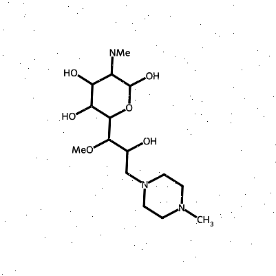 CNC1C(O)OC(C(OC)C(O)CN2CCN(C)CC2)C(O)C1O